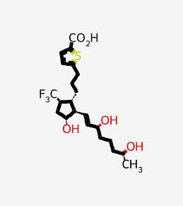 C[C@@H](O)CCC[C@H](O)/C=C/[C@@H]1[C@@H](CCCc2ccc(C(=O)O)s2)[C@H](C(F)(F)F)C[C@H]1O